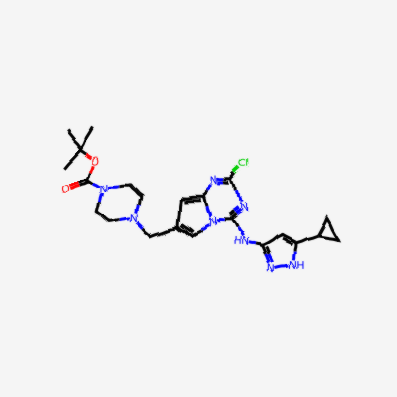 CC(C)(C)OC(=O)N1CCN(Cc2cc3nc(Cl)nc(Nc4cc(C5CC5)[nH]n4)n3c2)CC1